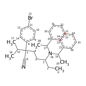 CCC(CCC(C#N)(c1ccc(Br)cc1)C(C)C)N(C(C)c1ccccc1)C(C)c1ccccc1